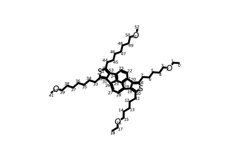 CCOCCCCCc1sc(CCCCCOCC)c2c1-c1ccc3c4c(ccc-2c14)-c1c(CCCCCCCOC)sc(CCCCCCCOC)c1-3